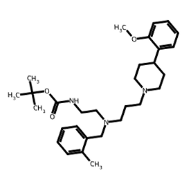 COc1ccccc1C1CCN(CCCN(CCNC(=O)OC(C)(C)C)Cc2ccccc2C)CC1